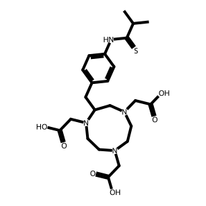 CC(C)C(=S)Nc1ccc(CC2CN(CC(=O)O)CCN(CC(=O)O)CCN2CC(=O)O)cc1